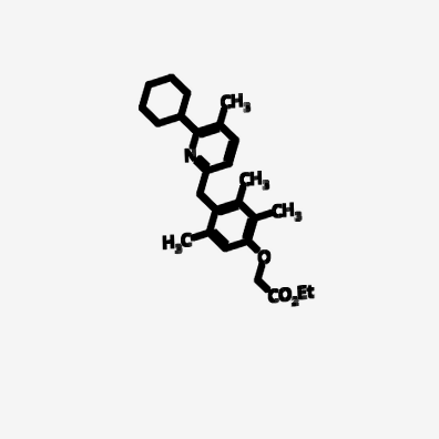 CCOC(=O)COc1cc(C)c(Cc2ccc(C)c(C3CCCCC3)n2)c(C)c1C